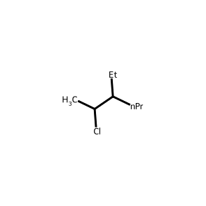 CCCC(CC)C(C)Cl